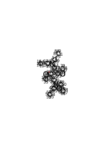 c1ccc(-c2ccc(N(c3ccc(-c4ccccc4)cc3)c3ccc(-c4c(-c5ccc6oc7ccccc7c6c5-c5ccc(N(c6ccc(-c7ccccc7)cc6)c6cccc7c6oc6ccccc67)cc5)ccc5oc6ccccc6c45)cc3)cc2)cc1